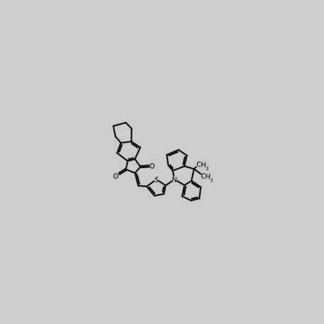 CC1(C)c2ccccc2N(c2ccc(C=C3C(=O)c4cc5c(cc4C3=O)CCCC5)s2)c2ccccc21